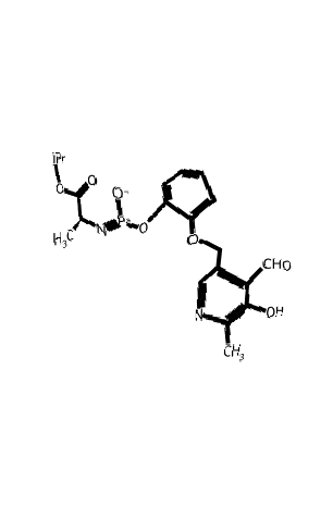 Cc1ncc(COc2ccccc2O[P+]([O-])=N[C@@H](C)C(=O)OC(C)C)c(C=O)c1O